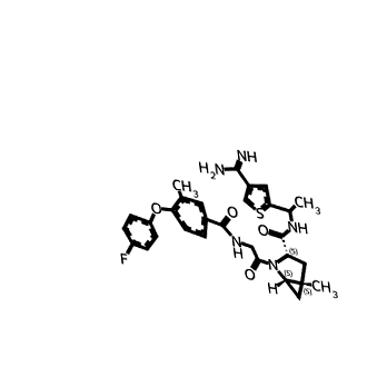 Cc1cc(C(=O)NCC(=O)N2[C@H]3C[C@@]3(C)C[C@H]2C(=O)NC(C)c2cc(C(=N)N)cs2)ccc1Oc1ccc(F)cc1